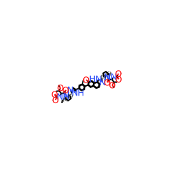 CC[C@H]1CC[C@@H](c2ncc(-c3ccc4c(c3)COc3cc5c(ccc6nc([C@@H]7CC[C@H](C)N7C(=O)C(NC(=O)OC)C(C)OC)[nH]c65)cc3-4)[nH]2)N1C(=O)C(NC(=O)OC)C(C)OC